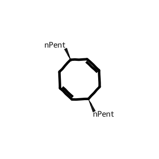 CCCCC[C@H]1C=CC[C@@H](CCCCC)C=CC1